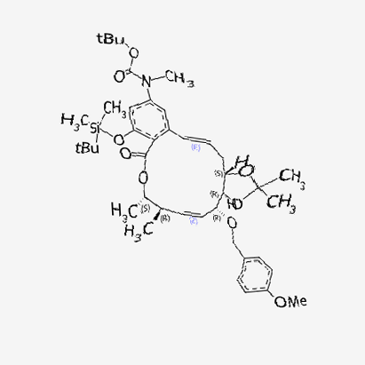 COc1ccc(CO[C@@H]2/C=C\[C@@H](C)[C@H](C)OC(=O)c3c(cc(N(C)C(=O)OC(C)(C)C)cc3O[Si](C)(C)C(C)(C)C)/C=C/C[C@@H]3OC(C)(C)O[C@H]32)cc1